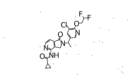 CC(c1cnc(OCC(F)F)c(Cl)c1)N1Cc2c(ccnc2NC(=O)C2CC2)C1=O